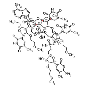 CC[C@H]1O[C@@H](n2cc(C)c(=O)[nH]c2=O)C(OCCOC)[C@H]1OP(=O)(S)OC[C@H]1O[C@@H](n2cc(C)c(=O)[nH]c2=O)C(OCCOC)[C@H]1OP(=O)(O)OC[C@H]1O[C@@H](n2cnc3c(N)ncnc32)C(OCCOC)[C@H]1OP(=O)(S)OC[C@H]1O[C@@H](n2cc(C)c(=O)[nH]c2=O)C(OCCOC)[C@H]1OP(=O)(S)OC[C@H]1O[C@@H](n2cc(C)c(N)nc2=O)C(OCCOC)[C@H]1O